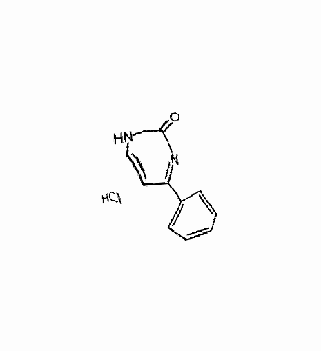 Cl.O=c1nc(-c2ccccc2)cc[nH]1